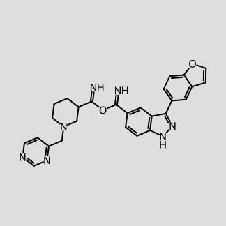 N=C(OC(=N)C1CCCN(Cc2ccncn2)C1)c1ccc2[nH]nc(-c3ccc4occc4c3)c2c1